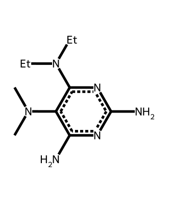 CCN(CC)c1nc(N)nc(N)c1N(C)C